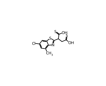 Cc1cc(Cl)cc2sc(C(CC(O)=S)C(O)=S)nc12